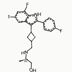 C[C@H](CO)NCC1CC(c2c(-c3ccc(F)cc3)[nH]c3c(F)cc(F)cc23)C1